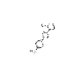 CN1CCN(c2[c]cc(-c3ccccc3Cl)cc2)CC1